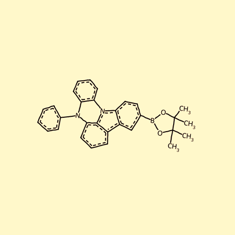 CC1(C)OB(c2ccc3c(c2)c2cccc4c2n3-c2ccccc2N4c2ccccc2)OC1(C)C